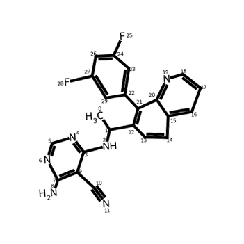 CC(Nc1ncnc(N)c1C#N)c1ccc2cccnc2c1-c1cc(F)cc(F)c1